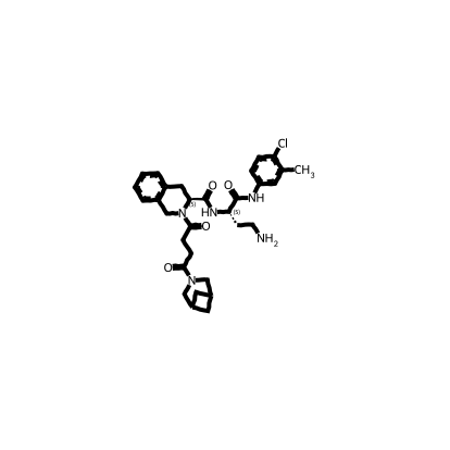 Cc1cc(NC(=O)[C@H](CCN)NC(=O)[C@@H]2Cc3ccccc3CN2C(=O)CCC(=O)N2CC3CC(C3)C2)ccc1Cl